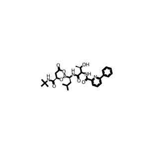 CC(C)C[C@H](NC(=O)C(NC(=O)c1cccc(-c2ccccc2)n1)[C@@H](C)O)B1OC(=O)C[C@H](C(=O)NC(C)(C)C)O1